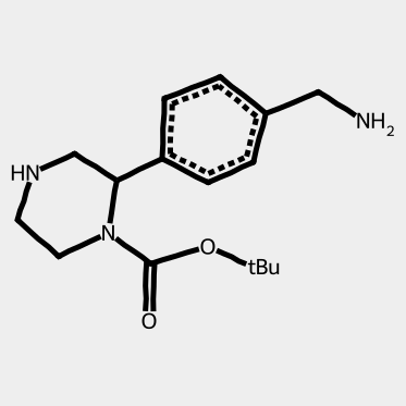 CC(C)(C)OC(=O)N1CCNCC1c1ccc(CN)cc1